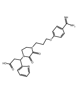 N=C(N)c1ccc(OCCCN2CCN(C(CC(=O)O)c3ccccn3)C(=O)C2=O)cc1